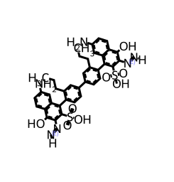 [H]/N=N/c1c(S(=O)(=O)O)c(-c2ccc(-c3ccc(-c4c(S(=O)(=O)O)c(/N=N/[H])c(O)c5ccc(N)cc45)c(CCC)c3)cc2CCC)c2cc(N)ccc2c1O